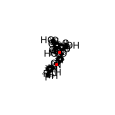 O=C(Nc1ccc(C(=O)Nc2cc(S(=O)(=O)O)cc3cc(S(=O)(=O)O)cc(S(=O)(=O)O)c23)cc1)Nc1cccc(C(F)(F)F)c1